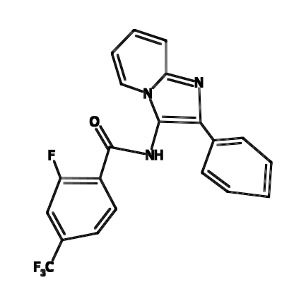 O=C(Nc1c(-c2ccccc2)nc2ccccn12)c1ccc(C(F)(F)F)cc1F